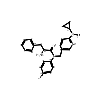 CCN(c1ccc(CN(C(=O)[C@@H](N)Cc2ccccc2)c2ccc(F)cc2)cn1)C1CC1